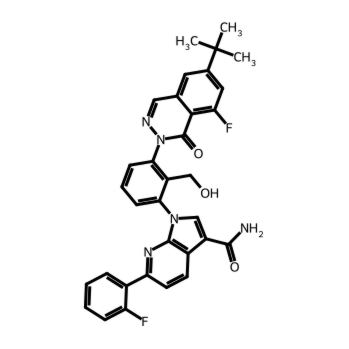 CC(C)(C)c1cc(F)c2c(=O)n(-c3cccc(-n4cc(C(N)=O)c5ccc(-c6ccccc6F)nc54)c3CO)ncc2c1